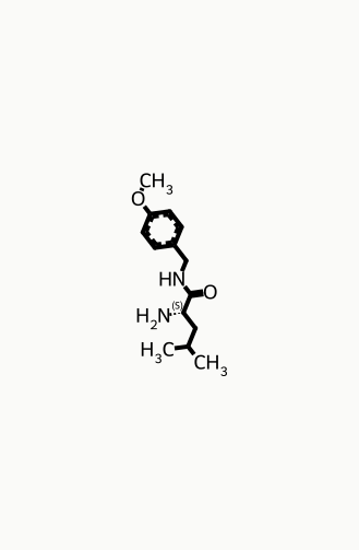 COc1ccc(CNC(=O)[C@@H](N)CC(C)C)cc1